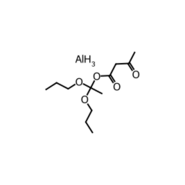 CCCOC(C)(OCCC)OC(=O)CC(C)=O.[AlH3]